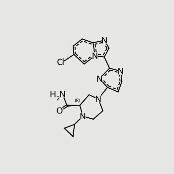 NC(=O)[C@H]1CN(c2ccnc(-c3cnc4ccc(Cl)cn34)n2)CCN1C1CC1